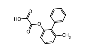 Cc1cccc(OC(=O)C(=O)O)c1-c1ccccc1